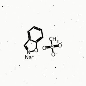 CS(=O)(=O)[O-].[Na+].c1ccc2oncc2c1